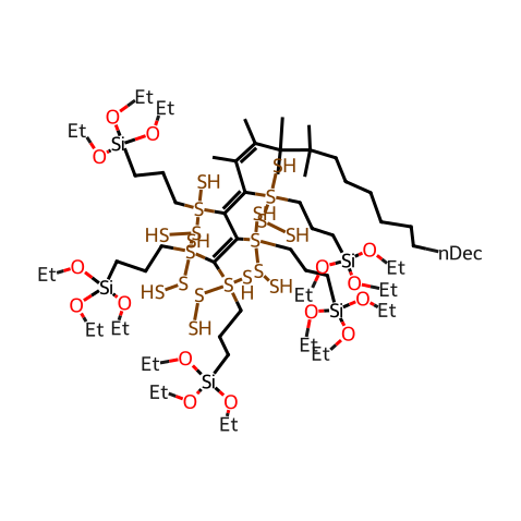 CCCCCCCCCCCCCCCCC(C)(C)C(C)(C)C(C)=C(C)C(=C(C(=C(S(S)(CCC[Si](OCC)(OCC)OCC)SS)S(S)(CCC[Si](OCC)(OCC)OCC)SS)S(S)(CCC[Si](OCC)(OCC)OCC)SS)S(S)(CCC[Si](OCC)(OCC)OCC)SS)S(S)(CCC[Si](OCC)(OCC)OCC)SS